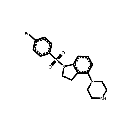 O=S(=O)(c1ccc(Br)cc1)N1CCc2c(N3CCNCC3)cccc21